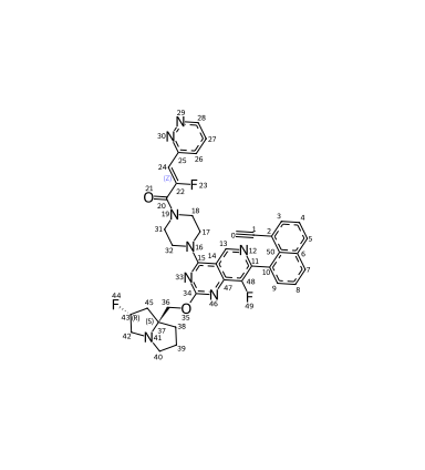 C#Cc1cccc2cccc(-c3ncc4c(N5CCN(C(=O)/C(F)=C/c6cccnn6)CC5)nc(OC[C@@]56CCCN5C[C@H](F)C6)nc4c3F)c12